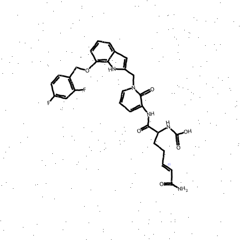 NC(=O)/C=C/CCC(NC(=O)O)C(=O)Nc1cccn(Cc2cc3cccc(OCc4ccc(F)cc4F)c3[nH]2)c1=O